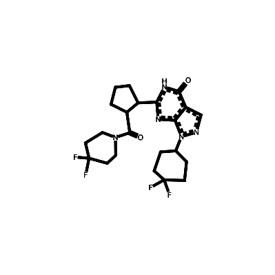 O=C(C1CCCC1c1nc2c(cnn2C2CCC(F)(F)CC2)c(=O)[nH]1)N1CCC(F)(F)CC1